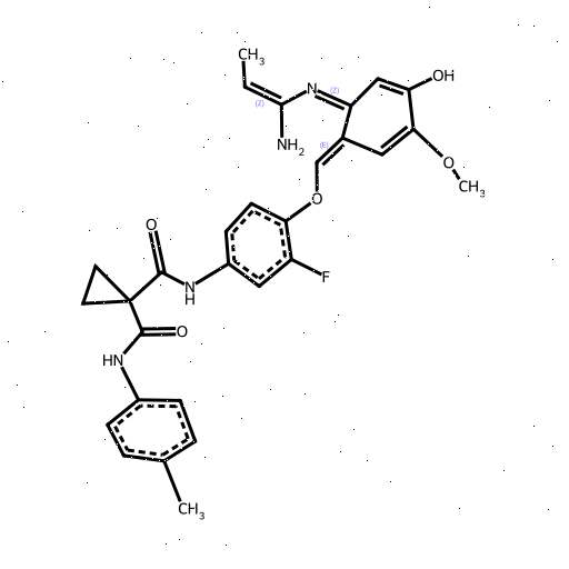 C\C=C(N)/N=C1/C=C(O)C(OC)=C/C1=C\Oc1ccc(NC(=O)C2(C(=O)Nc3ccc(C)cc3)CC2)cc1F